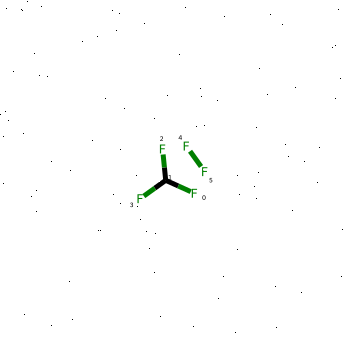 FC(F)F.FF